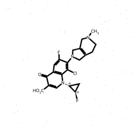 CN1CCC2=C(C1)CN(c1c(F)cc3c(=O)c(C(=O)O)cn([C@@H]4C[C@H]4F)c3c1Cl)C2